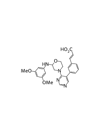 COc1cc(NC2CN(c3ncncc3-c3cccc(C=CC(=O)O)c3)CCO2)cc(OC)c1